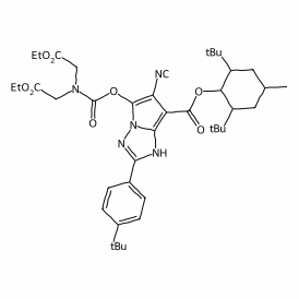 [C-]#[N+]c1c(C(=O)OC2C(C(C)(C)C)CC(C)CC2C(C)(C)C)c2[nH]c(-c3ccc(C(C)(C)C)cc3)nn2c1OC(=O)N(CC(=O)OCC)CC(=O)OCC